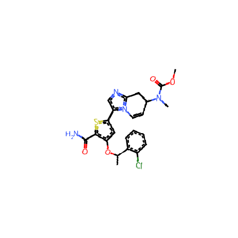 COC(=O)N(C)C1C=Cn2c(-c3cc(OC(C)c4ccccc4Cl)c(C(N)=O)s3)cnc2C1